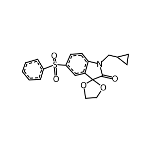 O=C1N(CC2CC2)c2ccc(S(=O)(=O)c3ccccc3)cc2C12OCCO2